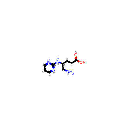 NCC(CCC(=O)O)Nc1ncccn1